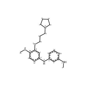 CNc1cc(Nc2cc(OCCCN3CCCC3)c(OC)cn2)ccn1